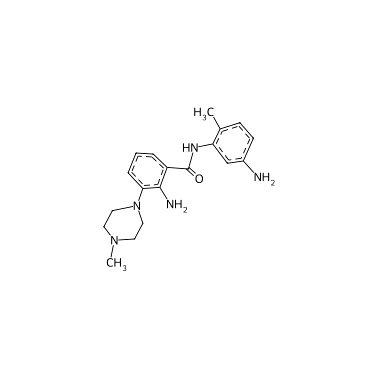 Cc1ccc(N)cc1NC(=O)c1cccc(N2CCN(C)CC2)c1N